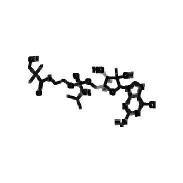 CC(C)NP(=O)(OCCSC(=O)C(C)(C)CO)OC[C@H]1OC(n2cnc3c(Cl)nc(N)nc32)C(C)(O)[C@H]1O